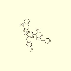 COc1ccc(C[C@H](NC(=O)[C@@H](NC(=O)CN2CCOCC2)[C@@H](C)O)C(=O)N[C@@H](CC2=CCCCC2)C(=O)[C@H]2CO2)cc1